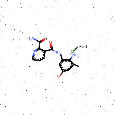 CCCCCCl.Cc1cc(Br)cc(C)c1N.NC(=O)c1cccnc1C(N)=O